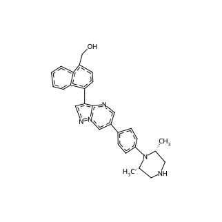 C[C@@H]1CNC[C@H](C)N1c1ccc(-c2cnc3c(-c4ccc(CO)c5ccccc45)cnn3c2)cc1